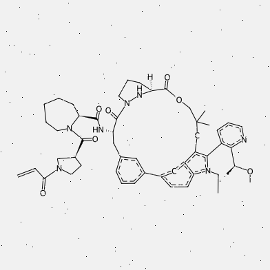 C=CC(=O)N1CC[C@H](C(=O)N2CCCCC[C@H]2C(=O)N[C@H]2Cc3cccc(c3)-c3ccc4c(c3)c(c(-c3cccnc3[C@H](C)OC)n4CC)CC(C)(C)COC(=O)[C@@H]3CCCN(N3)C2=O)C1